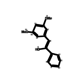 COc1cc(C=C(O)c2ccccc2)cc(OC)c1